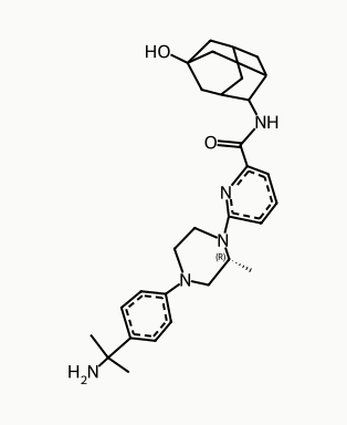 C[C@@H]1CN(c2ccc(C(C)(C)N)cc2)CCN1c1cccc(C(=O)NC2C3CC4CC2CC(O)(C4)C3)n1